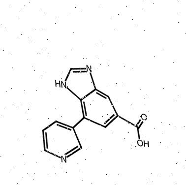 O=C(O)c1cc(-c2cccnc2)c2[nH]cnc2c1